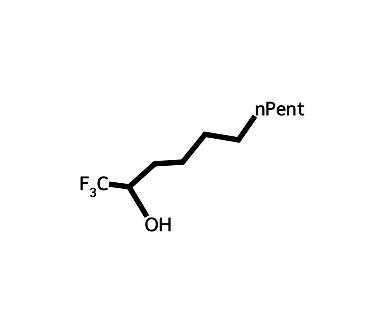 CCCCCCCCCC(O)C(F)(F)F